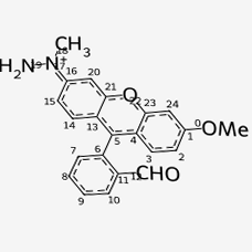 COc1ccc2c(-c3ccccc3C=O)c3cc/c(=[N+](/C)N)cc-3oc2c1